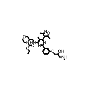 CCOC(=O)N1CCOCC1CNc1nc(-c2cccc(OCC(O)CNC)c2)nc(-c2c(C)noc2C)c1C